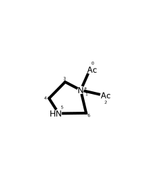 CC(=O)[N+]1(C(C)=O)CCNC1